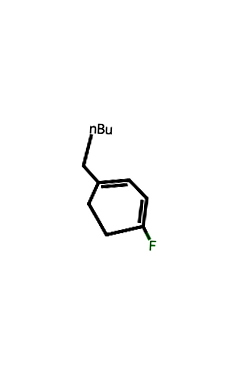 CCCCCC1=CC=C(F)CC1